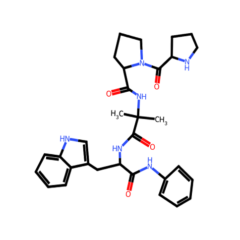 CC(C)(NC(=O)C1CCCN1C(=O)C1CCCN1)C(=O)NC(Cc1c[nH]c2ccccc12)C(=O)Nc1ccccc1